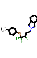 Cc1ccc(SC(F)(F)/C(F)=C/CN2Cc3ccccc3C2)cc1